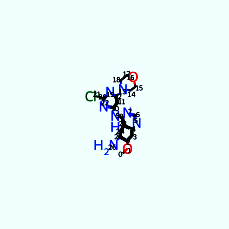 COc1cc2ncnc(Nc3cc(N4CCOCC4)nc(Cl)n3)c2cc1N